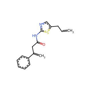 C=CCc1cnc(NC(=O)CC(=C)c2ccccc2)s1